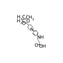 CC(C)(C)OC(=O)C1CCN(c2ccc(NCCC(=O)O)cc2)CC1